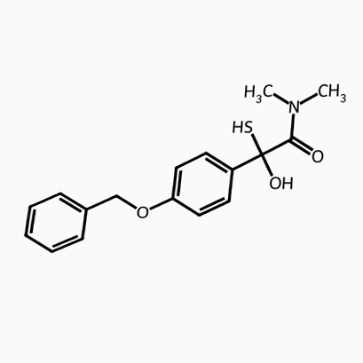 CN(C)C(=O)C(O)(S)c1ccc(OCc2ccccc2)cc1